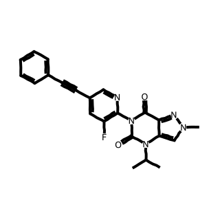 CC(C)n1c(=O)n(-c2ncc(C#Cc3ccccc3)cc2F)c(=O)c2nn(C)cc21